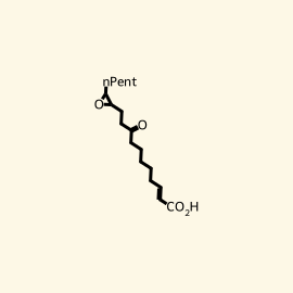 CCCCCC1OC1CCC(=O)CCCCCC=CC(=O)O